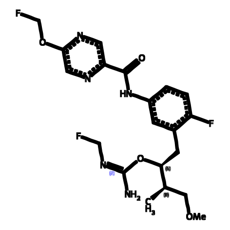 COC[C@@H](C)[C@H](Cc1cc(NC(=O)c2cnc(OCF)cn2)ccc1F)O/C(N)=N\CF